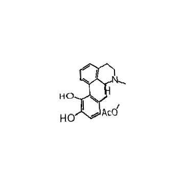 CN1CCc2cccc3c2[C@H]1Cc1ccc(O)c(O)c1-3.COC(C)=O